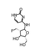 O=c1nc(NC2O[C@H](CO)[C@@H](O)[C@@H]2CF)cc[nH]1